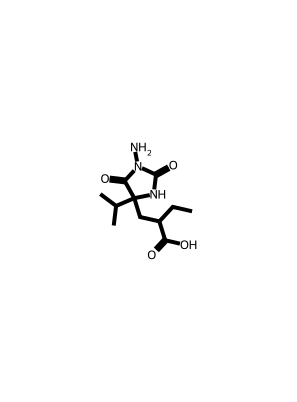 CCC(CC1(C(C)C)NC(=O)N(N)C1=O)C(=O)O